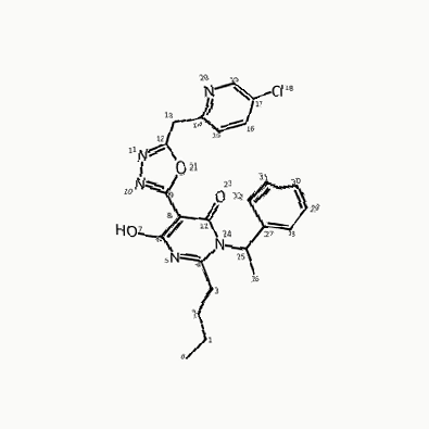 CCCCc1nc(O)c(-c2nnc(Cc3ccc(Cl)cn3)o2)c(=O)n1C(C)c1ccccc1